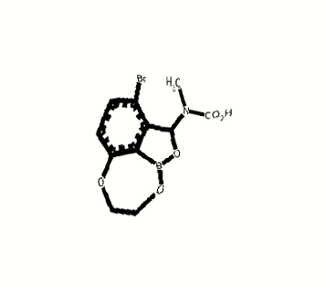 CN(C(=O)O)C1OB2OCCOc3ccc(Br)c1c32